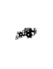 O=C1N(Cc2ccc(F)c(Br)n2)c2cccc(C(O)C(F)F)c2C1(F)F